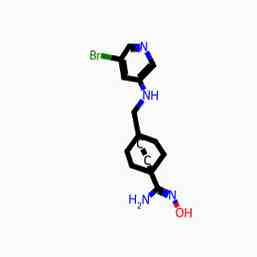 N/C(=N\O)C12CCC(CNc3cncc(Br)c3)(CC1)CC2